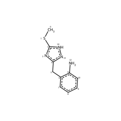 CSc1nc(Cc2ccccc2N)n[nH]1